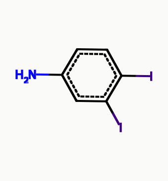 Nc1ccc(I)c(I)c1